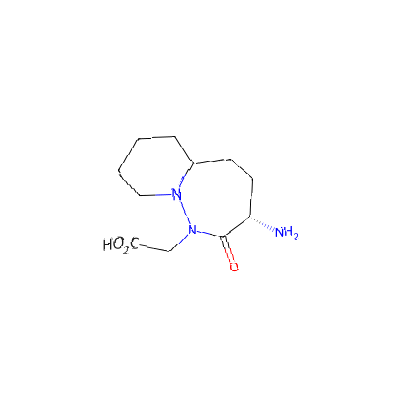 N[C@H]1CCC2CCCCN2N(CC(=O)O)C1=O